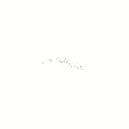 Cc1nc(NC(=O)c2ccc(-c3ccnc(Nc4cccc(CCN5CCC(O)CC5)c4)n3)s2)sc1C